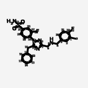 Cc1cc(CNCc2nc(Cc3ccccc3)n(-c3ccc(S(N)(=O)=O)cc3F)n2)ccc1F